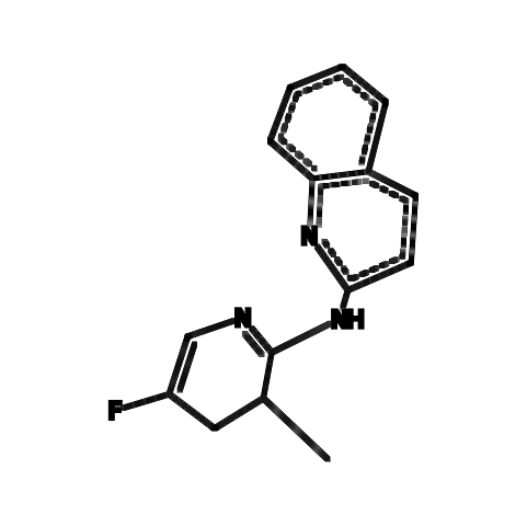 CC1CC(F)=CN=C1Nc1ccc2ccccc2n1